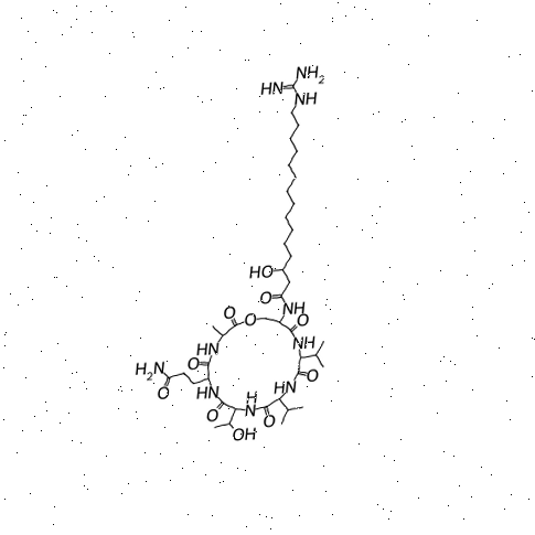 CC1NC(=O)C(CCC(N)=O)NC(=O)C(C(C)O)NC(=O)C(C(C)C)NC(=O)C(C(C)C)NC(=O)C(NC(=O)CC(O)CCCCCCCCCCCCNC(=N)N)COC1=O